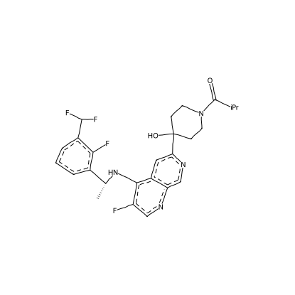 CC(C)C(=O)N1CCC(O)(c2cc3c(N[C@H](C)c4cccc(C(F)F)c4F)c(F)cnc3cn2)CC1